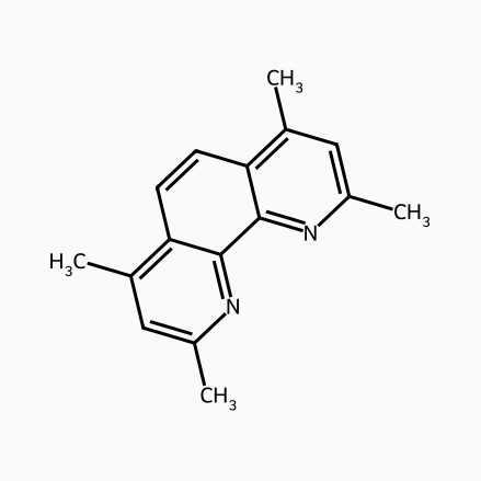 Cc1cc(C)c2ccc3c(C)cc(C)nc3c2n1